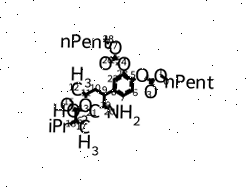 CCCCCOC(=O)Oc1ccc(C(CC(C)OC(=O)C(C)C(C)C)[C@H](N)C(=O)O)cc1OC(=O)OCCCCC